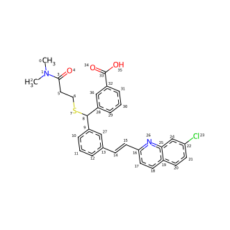 CN(C)C(=O)CCSC(c1cccc(/C=C/c2ccc3ccc(Cl)cc3n2)c1)c1cccc(C(=O)O)c1